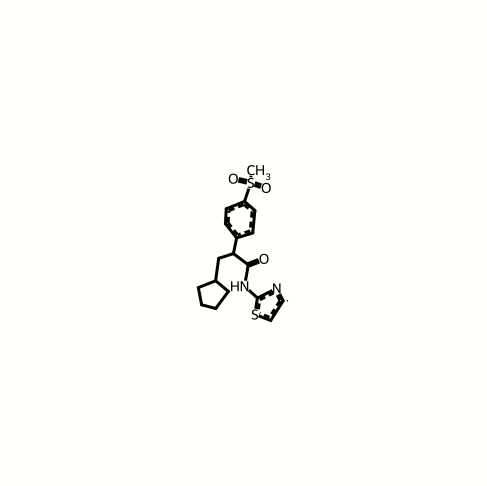 CS(=O)(=O)c1ccc(C(CC2CCCC2)C(=O)Nc2n[c]cs2)cc1